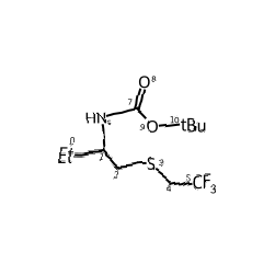 CCC(CSCC(F)(F)F)NC(=O)OC(C)(C)C